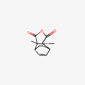 CC12C(=O)OC(=O)C1(C)C1C=CC2CC1